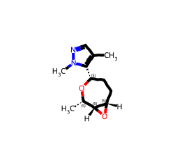 Cc1cnn(C)c1[C@@H]1CC[C@@H]2O[C@@H]2[C@H](C)O1